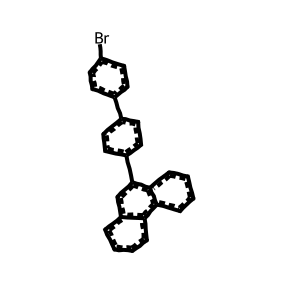 Brc1ccc(-c2ccc(-c3cc4ccccc4c4ccccc34)cc2)cc1